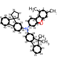 Cc1cc(C)c2c(c1)oc1cc(N(c3ccc4c(c3)C(C)(C)c3ccccc3-4)c3ccc4c(c3)C3(CCCC3)c3ccccc3-4)ccc12